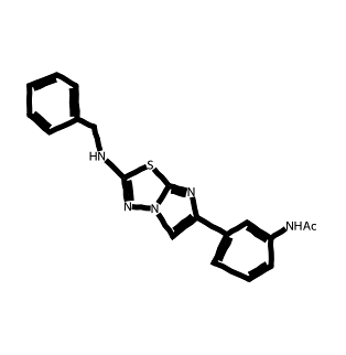 CC(=O)Nc1cccc(-c2cn3nc(NCc4ccccc4)sc3n2)c1